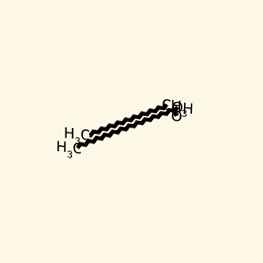 CCCCCCCCCCCCCCCCCCCCC.CCCCCCCCCCCCCCCCCCCCCCCCC(=O)O